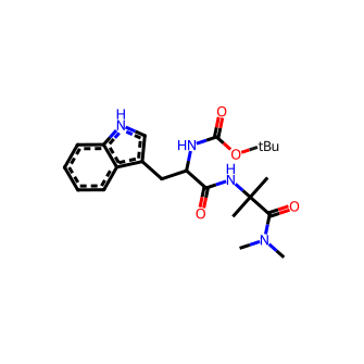 CN(C)C(=O)C(C)(C)NC(=O)C(Cc1c[nH]c2ccccc12)NC(=O)OC(C)(C)C